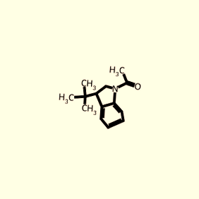 CC(=O)N1CC(C(C)(C)C)c2ccccc21